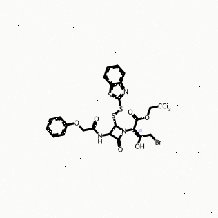 O=C(COc1ccccc1)NC1C(=O)N(/C(C(=O)OCC(Cl)(Cl)Cl)=C(\O)CBr)C1SSc1nc2ccccc2s1